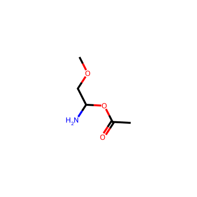 COCC(N)OC(C)=O